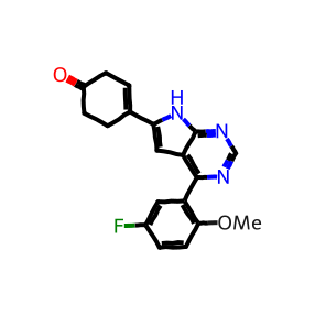 COc1ccc(F)cc1-c1ncnc2[nH]c(C3=CCC(=O)CC3)cc12